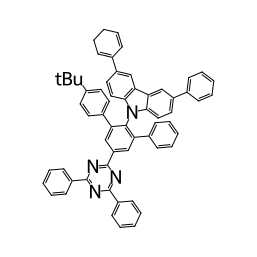 CC(C)(C)c1ccc(-c2cc(-c3nc(-c4ccccc4)nc(-c4ccccc4)n3)cc(-c3ccccc3)c2-n2c3ccc(C4=CCCC=C4)cc3c3cc(-c4ccccc4)ccc32)cc1